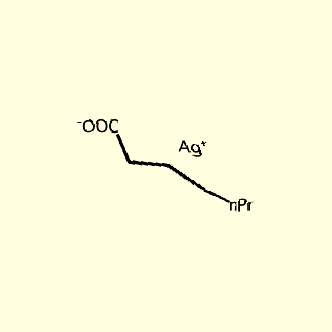 CCCCCCC(=O)[O-].[Ag+]